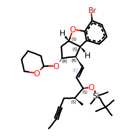 CC#CC[C@H](C)[C@@H](/C=C/[C@@H]1[C@H]2c3cccc(Br)c3O[C@H]2C[C@H]1OC1CCCCO1)O[Si](C)(C)C(C)(C)C